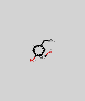 CCCCCCCCCc1ccc(O)cc1.CCCCO